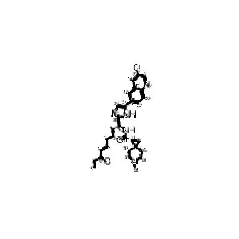 CCC(=O)CCCCC[C@H](NC(=O)[C@H]1CC12CCN(C)CC2)c1ncc(-c2ccc3ncc(Cl)cc3c2)[nH]1